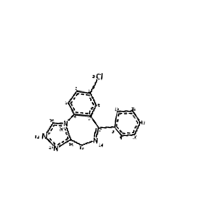 Clc1ccc2c(c1)C(c1ccccc1)=NCc1nncn1-2